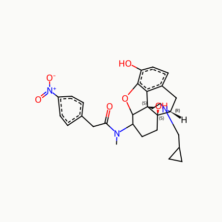 CN(C(=O)Cc1ccc([N+](=O)[O-])cc1)C1CC[C@@]2(O)[C@H]3Cc4ccc(O)c5c4[C@@]2(CCN3CC2CC2)C1O5